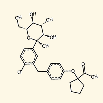 O=C(O)C1(Oc2ccc(Cc3cc([C@]4(O)O[C@H](CO)[C@@H](O)[C@H](O)[C@H]4O)ccc3Cl)cc2)CCCC1